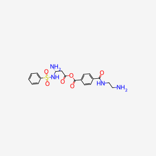 NCCNC(=O)c1ccc(C(=O)OC(=O)C[C@@H](N)NS(=O)(=O)c2ccccc2)cc1